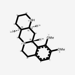 COc1ccc2c(c1OC)[C@H]1C[C@@H]3NCCC[C@@H]3CN1CC2